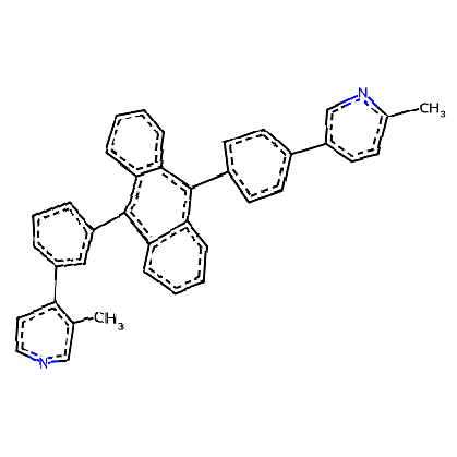 Cc1ccc(-c2ccc(-c3c4ccccc4c(-c4cccc(-c5ccncc5C)c4)c4ccccc34)cc2)cn1